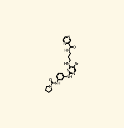 O=C(NCCCNc1nc(Nc2cccc(NC(=O)N3CCCC3)c2)ncc1Br)c1cnccn1